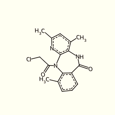 Cc1cc(C)c2c(n1)N(C(=O)CCl)c1c(C)cccc1C(=O)N2